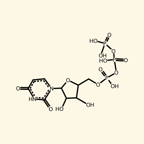 O=c1ccn(C2OC(COP(=O)(O)OP(=O)(O)OP(=O)(O)O)C(O)C2O)c(=O)[nH]1